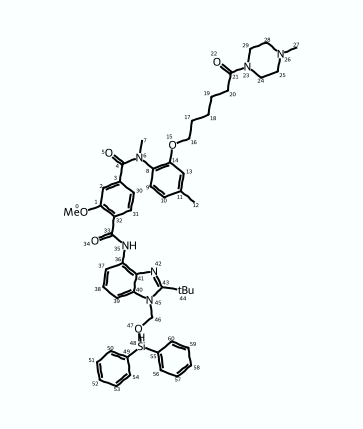 COc1cc(C(=O)N(C)c2ccc(C)cc2OCCCCCC(=O)N2CCN(C)CC2)ccc1C(=O)Nc1cccc2c1nc(C(C)(C)C)n2CO[SiH](c1ccccc1)c1ccccc1